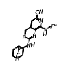 CC(C)Nc1nc(C#N)cc2cnc(NC3CN4CCC3CC4)nc12